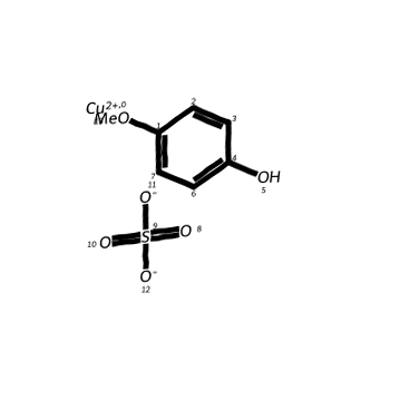 COc1ccc(O)cc1.O=S(=O)([O-])[O-].[Cu+2]